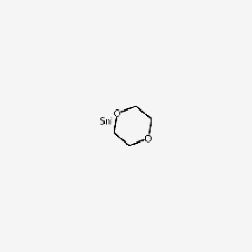 C1COCCO1.[Sn]